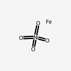 [Fe].[O]=[Ni](=[O])(=[O])=[O]